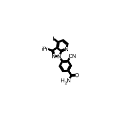 CC(C)c1nn(-c2ccc(C(N)=O)cc2C#N)c2nccc(I)c12